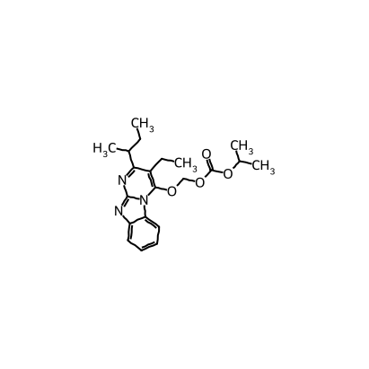 CCc1c(C(C)CC)nc2nc3ccccc3n2c1OCOC(=O)OC(C)C